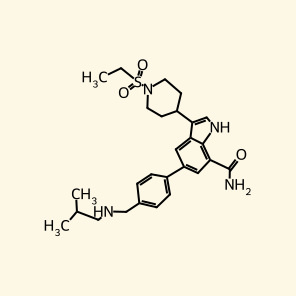 CCS(=O)(=O)N1CCC(c2c[nH]c3c(C(N)=O)cc(-c4ccc(CNCC(C)C)cc4)cc23)CC1